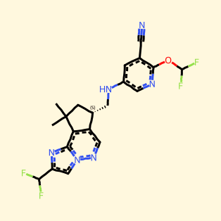 CC1(C)C[C@H](CNc2cnc(OC(F)F)c(C#N)c2)c2cnn3cc(C(F)F)nc3c21